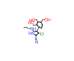 CCCNc1[nH]c(C#N)c(Cl)c1-c1ccc(CO)c(CO)c1CO